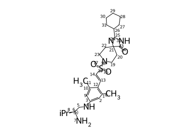 Cc1cc(NC[C@@H](N)C(C)C)cc(C)c1C=CS(=O)(=O)N1CCC2(CC1)N=C(C1CCCCC1)NC2=O